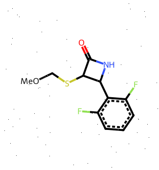 COCSC1C(=O)NC1c1c(F)cccc1F